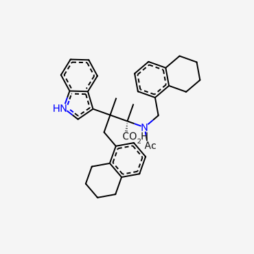 CC(=O)N(Cc1cccc2c1CCCC2)[C@@](C)(C(=O)O)C(C)(Cc1cccc2c1CCCC2)c1c[nH]c2ccccc12